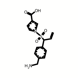 C=CC(c1ccc(CN)cc1)S(=O)(=O)n1ccc(C(=O)O)c1